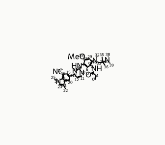 C=CC(=O)Nc1cc(Nc2nccc(-c3cc(C#N)c4c(c3)c(C)cn4C)n2)c(OC)cc1N(C)CC(C)(C)N(C)C